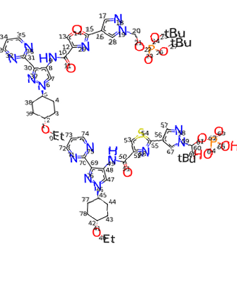 CCO[C@H]1CC[C@H](n2cc(NC(=O)c3coc(-c4cnn(COP(=O)(OC(C)(C)C)OC(C)(C)C)c4)n3)c(-c3ncccn3)n2)CC1.CCO[C@H]1CC[C@H](n2cc(NC(=O)c3csc(-c4cnn(C(OP(=O)(O)O)C(C)(C)C)c4)n3)c(-c3ncccn3)n2)CC1